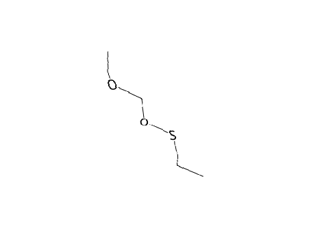 CCSOCOC